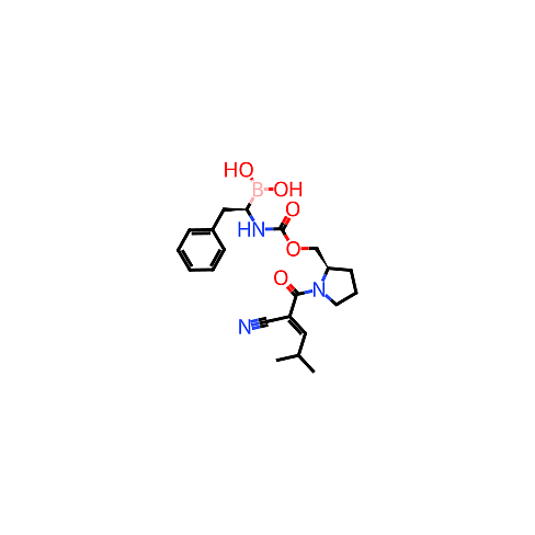 CC(C)/C=C(\C#N)C(=O)N1CCC[C@@H]1COC(=O)N[C@@H](Cc1ccccc1)B(O)O